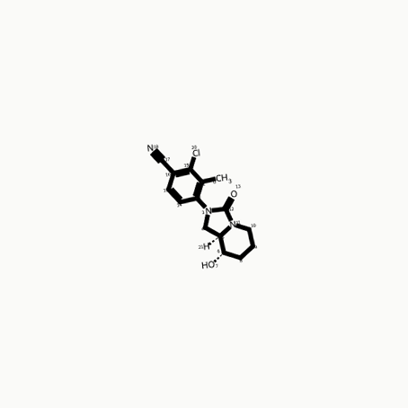 Cc1c(N2C[C@@H]3[C@@H](O)CCCN3C2=O)ccc(C#N)c1Cl